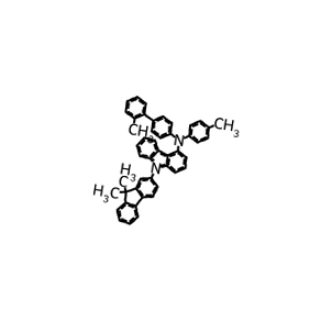 Cc1ccc(N(c2ccc(-c3ccccc3C)cc2)c2cccc3c2c2ccccc2n3-c2ccc3c(c2)C(C)(C)c2ccccc2-3)cc1